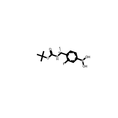 C[C@@H](NC(=O)OC(C)(C)C)c1ccc(B(O)O)cc1F